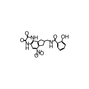 O=C(NCC1Cc2c([N+](=O)[O-])cc3[nH]c(=O)c(=O)[nH]c3c2C1)c1ccccc1O